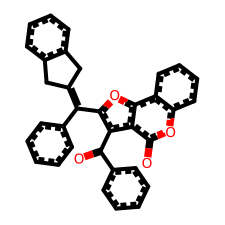 O=C(c1ccccc1)c1c(C(=C2Cc3ccccc3C2)c2ccccc2)oc2c1c(=O)oc1ccccc12